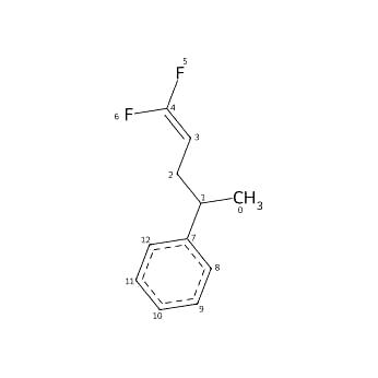 CC(CC=C(F)F)c1ccccc1